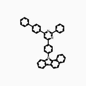 c1ccc(-c2ccc(-c3cc(-c4ccc(-n5c6ccccc6c6ccc7ccccc7c65)cc4)nc(-c4ccccc4)n3)cc2)cc1